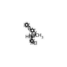 CC(Cc1ccc(OCc2ccccc2)cc1)NCC(O)c1cccc(Cl)c1